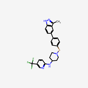 Cc1n[nH]c2ccc(-c3ccc(SN4CCC(Nc5ccc(C(F)(F)F)cn5)CC4)cc3)cc12